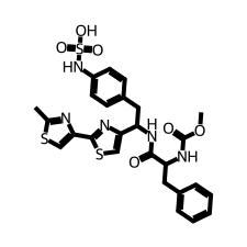 COC(=O)NC(Cc1ccccc1)C(=O)NC(Cc1ccc(NS(=O)(=O)O)cc1)c1csc(-c2csc(C)n2)n1